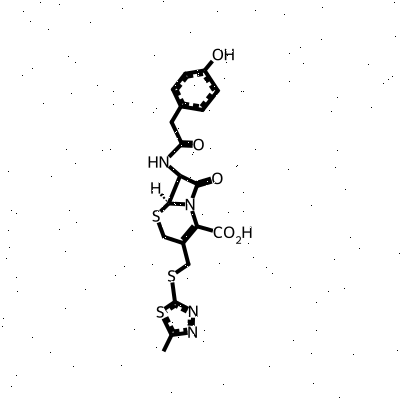 Cc1nnc(SCC2=C(C(=O)O)N3C(=O)C(NC(=O)Cc4ccc(O)cc4)[C@@H]3SC2)s1